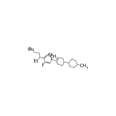 C=C(/C=C(F)\C(=C/CC)C(CC)CCC(C)CC)C1CCC(C2CCC(C)CC2)CC1